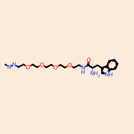 C/N=N/CCOCCOCCOCCOCCNC(=O)[C@@H](N)Cc1c[nH]c2ccccc12